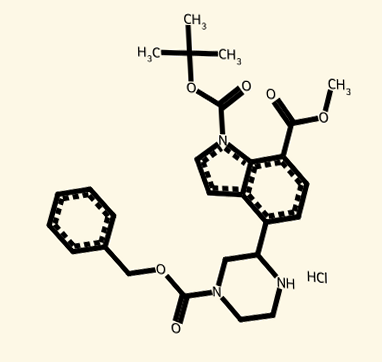 COC(=O)c1ccc(C2CN(C(=O)OCc3ccccc3)CCN2)c2ccn(C(=O)OC(C)(C)C)c12.Cl